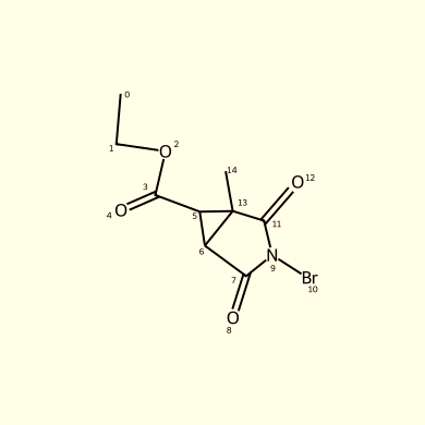 CCOC(=O)C1C2C(=O)N(Br)C(=O)C12C